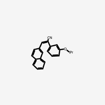 CC(C)Oc1cccc(C(C#N)=Cc2ccc3ccccc3c2)c1